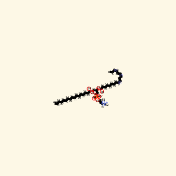 CC/C=C\C/C=C\C/C=C\CCCCCCCC(=O)O[C@H](COC(=O)CCCCCCCCCCCCCCCC)COP(=O)([O-])OCC[N+](C)(C)C